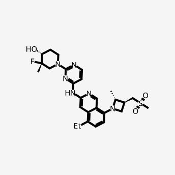 CCc1ccc(N2C[C@H](CS(C)(=O)=O)[C@H]2C)c2cnc(Nc3ccnc(N4CC[C@@H](O)[C@@](C)(F)C4)n3)cc12